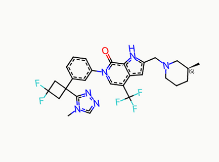 C[C@H]1CCCN(Cc2cc3c(C(F)(F)F)cn(-c4cccc(C5(c6nncn6C)CC(F)(F)C5)c4)c(=O)c3[nH]2)C1